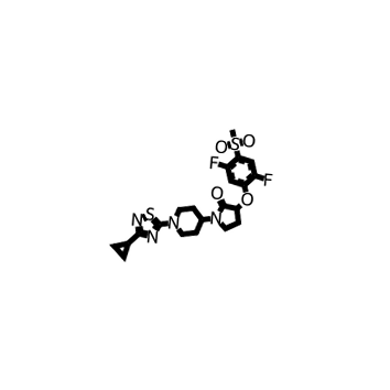 CS(=O)(=O)c1cc(F)c(OC2CCN(C3CCN(c4nc(C5CC5)ns4)CC3)C2=O)cc1F